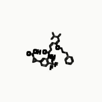 CC(C)C(C)/C=C(\C=C/CC(=O)Nc1cc([C@H]2C[C@H]2C(=O)O)ccc1C(F)(F)F)OCCCc1ccccc1